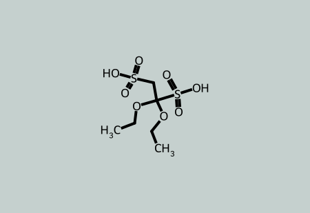 CCOC(CS(=O)(=O)O)(OCC)S(=O)(=O)O